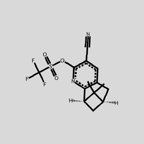 CC1(C)[C@H]2Cc3cc(C#N)c(OS(=O)(=O)C(F)(F)F)nc3[C@@H]1C2